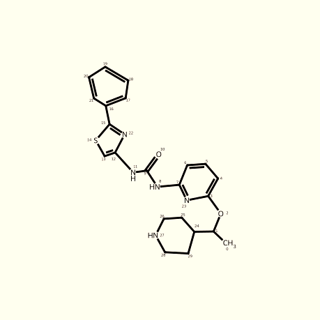 CC(Oc1cccc(NC(=O)Nc2csc(-c3ccccc3)n2)n1)C1CCNCC1